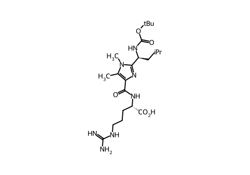 Cc1c(C(=O)N[C@@H](CCCNC(=N)N)C(=O)O)nc([C@H](CC(C)C)NC(=O)OC(C)(C)C)n1C